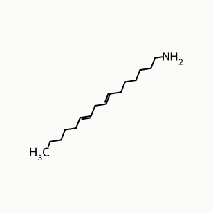 CCCCC/C=C/C/C=C/CCCCCCN